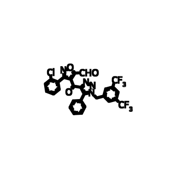 O=Cc1onc(-c2ccccc2Cl)c1C(=O)c1nnn(Cc2cc(C(F)(F)F)cc(C(F)(F)F)c2)c1-c1ccccc1